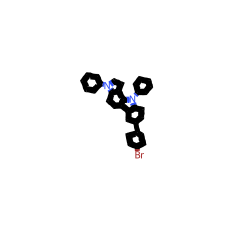 Brc1ccc(-c2ccc3c(c2)c2ccc4c(ccn4-c4ccccc4)c2n3-c2ccccc2)cc1